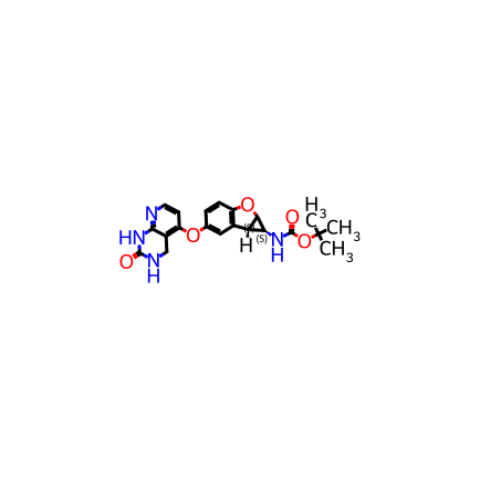 CC(C)(C)OC(=O)N[C@@H]1C2Oc3ccc(Oc4ccnc5c4CNC(=O)N5)cc3[C@H]21